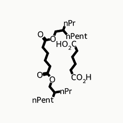 CCCCCC(CCC)COC(=O)CCCCC(=O)OCC(CCC)CCCCC.O=C(O)CCCCC(=O)O